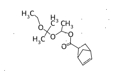 CCOC(C)(C)OC(C)OC(=O)C1CC2C=CC1C2